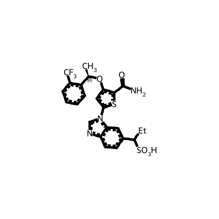 CCC(c1ccc2ncn(-c3cc(O[C@H](C)c4ccccc4C(F)(F)F)c(C(N)=O)s3)c2c1)S(=O)(=O)O